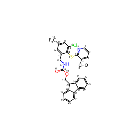 O=Cc1cccnc1Sc1c(Cl)cc(C(F)(F)F)cc1CNC(=O)OCC1c2ccccc2-c2ccccc21